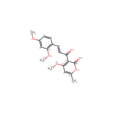 COc1ccc(/C=C/C(=O)c2c(OC)cc(C)oc2=O)c(OC)c1